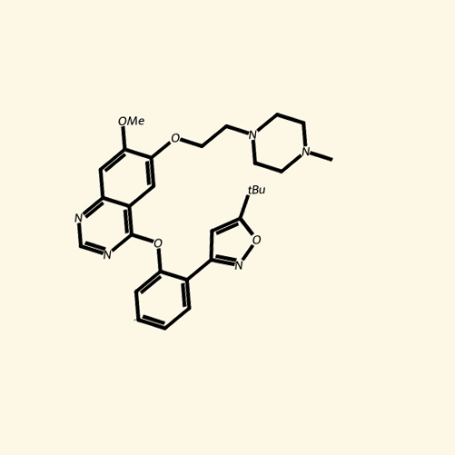 COc1cc2ncnc(Oc3c[c]ccc3-c3cc(C(C)(C)C)on3)c2cc1OCCN1CCN(C)CC1